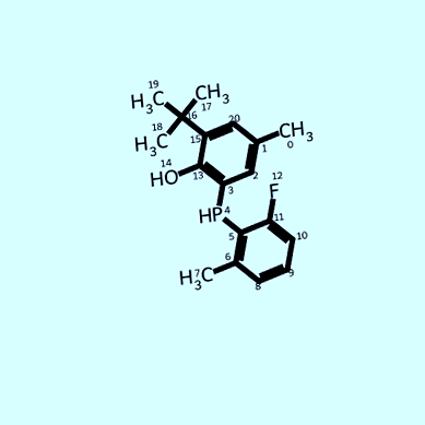 Cc1cc(Pc2c(C)cccc2F)c(O)c(C(C)(C)C)c1